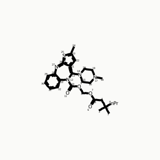 CCCC(C)(C)CC(=O)OCOC(=O)N1C(N2CCN(C)CC2)=c2cc(C)sc2=Nc2ccccc21